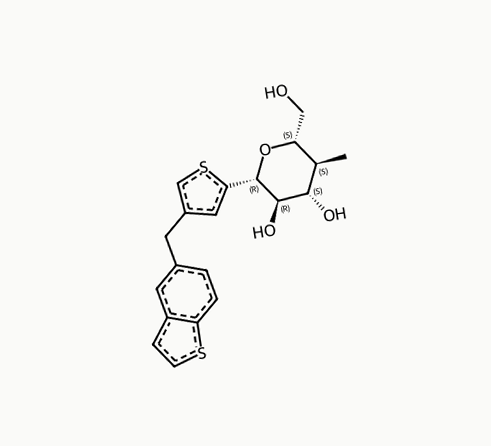 C[C@H]1[C@H](O)[C@@H](O)[C@H](c2cc(Cc3ccc4sccc4c3)cs2)O[C@@H]1CO